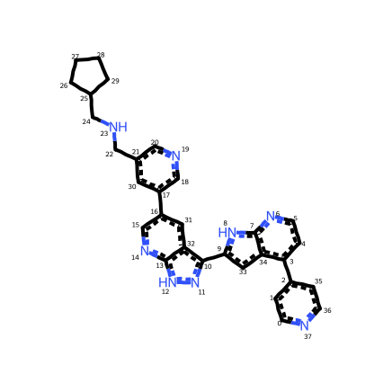 c1cc(-c2ccnc3[nH]c(-c4n[nH]c5ncc(-c6cncc(CNCC7CCCC7)c6)cc45)cc23)ccn1